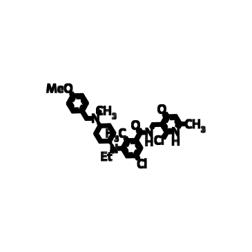 CCN(c1cc(Cl)cc(C(=O)NCc2c(Cl)[nH]c(C)cc2=O)c1C)[C@H]1CC[C@H](N(C)Cc2ccc(OC)cc2)CC1